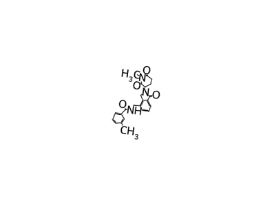 Cc1cccc(C(=O)NCc2cccc3c2CN(C2CCC(=O)N(C)C2=O)C3=O)c1